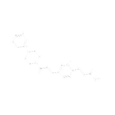 O=C(/C=C/c1ccc(/C=C/C(=O)N2CCN(c3ccccc3)CC2)cn1)NO